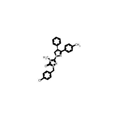 Cc1ccc(C2=NN(c3nn(Cc4ccc(Cl)cc4)c(=O)n3C)C[C@H]2c2ccccc2)cc1